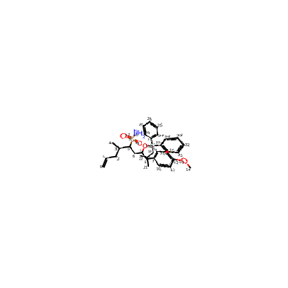 C=CCC(C)C(CC(Cc1ccc(OC)cc1)O[Si](CC(C)C)(c1ccccc1)c1ccccc1)S(N)(=O)=O